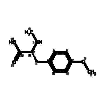 CN[C@H](Cc1ccc(OC)cc1)C(=O)O